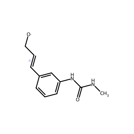 CNC(=O)Nc1cccc(/C=C/C[O])c1